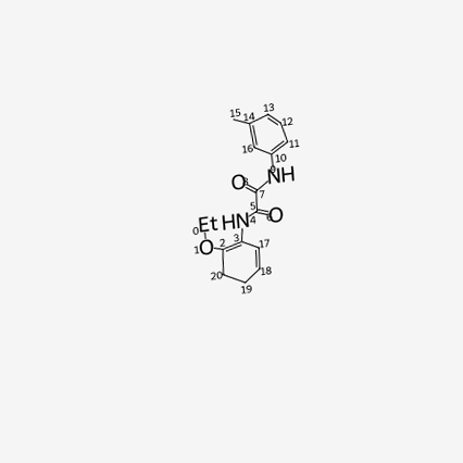 CCOC1=C(NC(=O)C(=O)Nc2cccc(C)c2)C=CCC1